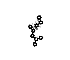 [2H]c1c([2H])c(-n2c3ccccc3c3cc(-c4cccc(-c5cc(-c6ccccc6)cc(-c6ccccc6)n5)c4)ccc32)c([2H])c([2H])c1-c1cccc2c1oc1ccccc12